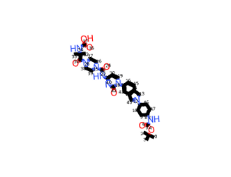 CC(C)(C)OC(=O)NC1CCC(N2Cc3ccc(-n4ccc(NC(=O)N5CCN(C(=O)C(C)(C)NC(=O)O)CC5)nc4=O)cc3C2)CC1